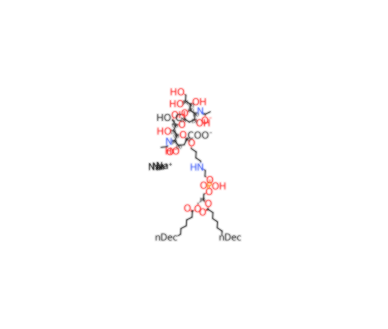 CCCCCCCCCCCCCCCC(=O)OC[C@H](COP(=O)(O)OCCNCCCCO[C@]1(C(=O)[O-])C[C@H](O)[C@@H](N=C(C)[O-])[C@H]([C@H](O)[C@@H](CO)O[C@]2(C(=O)O)C[C@H](O)[C@@H](N=C(C)[O-])[C@H]([C@H](O)[C@H](O)CO)O2)O1)OC(=O)CCCCCCCCCCCCCCC.[Na+].[Na+].[Na+]